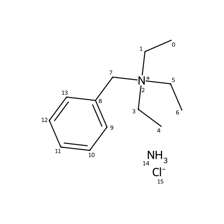 CC[N+](CC)(CC)Cc1ccccc1.N.[Cl-]